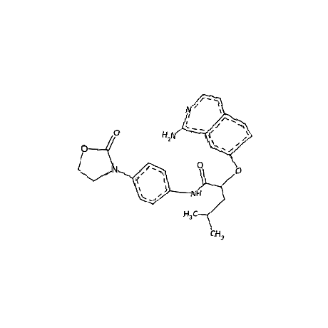 CC(C)CC(Oc1ccc2ccnc(N)c2c1)C(=O)Nc1ccc(N2CCOC2=O)cc1